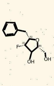 OC[C@H]1O[C@@H](Cc2ccccc2)[C@@H](F)C1O